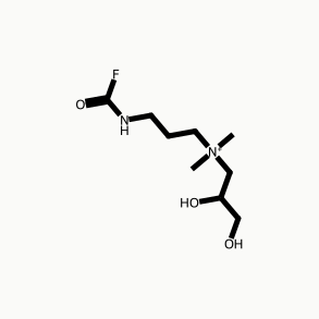 C[N+](C)(CCCNC(=O)F)CC(O)CO